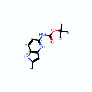 Cc1cc2nc(NC(=O)OC(C)(C)C)ccc2[nH]1